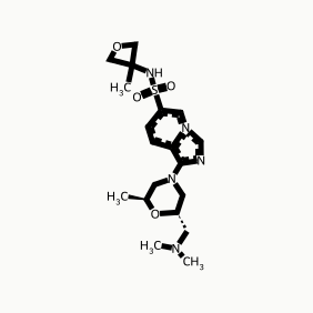 C[C@H]1CN(c2ncn3cc(S(=O)(=O)NC4(C)COC4)ccc23)C[C@H](CN(C)C)O1